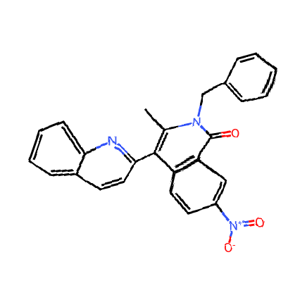 Cc1c(-c2ccc3ccccc3n2)c2ccc([N+](=O)[O-])cc2c(=O)n1Cc1ccccc1